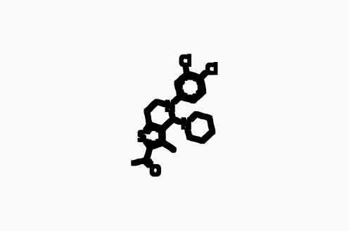 CC(=O)c1sc2c(c1C)C(N1CCCCC1)N(c1ccc(Cl)c(Cl)c1)CC2